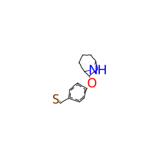 S=Cc1ccc(OC2CC3CCCC2N3)cc1